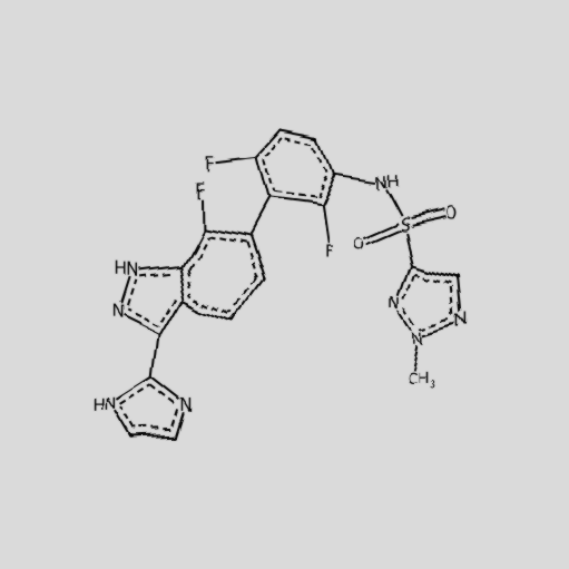 Cn1ncc(S(=O)(=O)Nc2ccc(F)c(-c3ccc4c(-c5ncc[nH]5)n[nH]c4c3F)c2F)n1